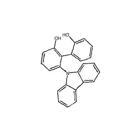 Oc1ccccc1-c1c(O)cccc1-n1c2ccccc2c2ccccc21